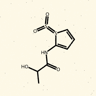 CC(O)C(=O)NC1=CC=CS1=S(=O)=O